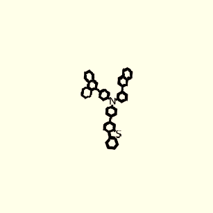 C1=Cc2c(c(-c3ccc(N(c4ccc(-c5ccc6c(c5)sc5ccccc56)cc4)c4cccc(-c5ccc6ccccc6c5)c4)cc3)cc3ccccc23)CC1